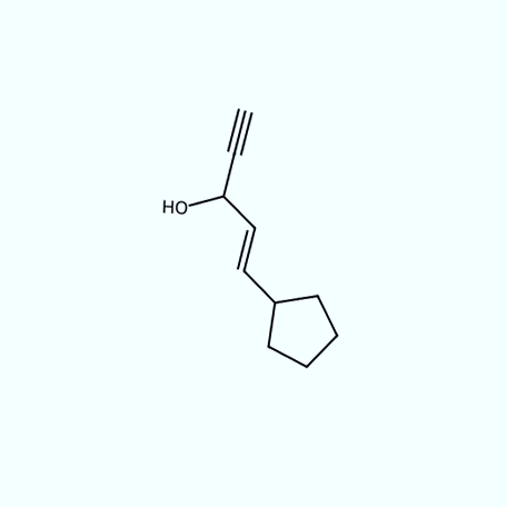 C#CC(O)C=CC1CCCC1